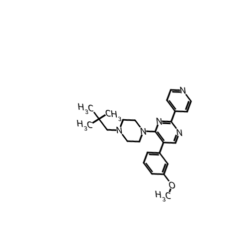 COc1cccc(-c2cnc(-c3ccncc3)nc2N2CCN(CC(C)(C)C)CC2)c1